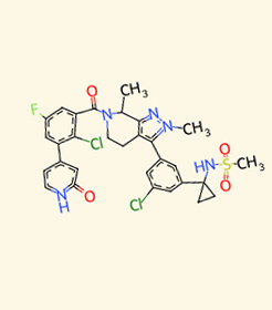 CC1c2nn(C)c(-c3cc(Cl)cc(C4(NS(C)(=O)=O)CC4)c3)c2CCN1C(=O)c1cc(F)cc(-c2cc[nH]c(=O)c2)c1Cl